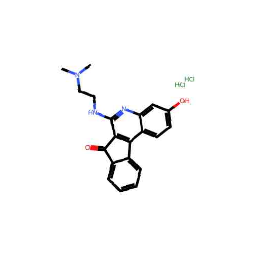 CN(C)CCNc1nc2cc(O)ccc2c2c1C(=O)c1ccccc1-2.Cl.Cl